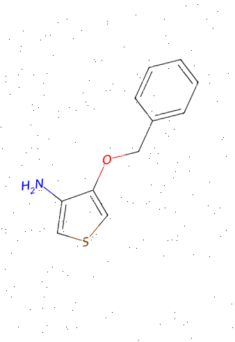 Nc1cscc1OCc1ccccc1